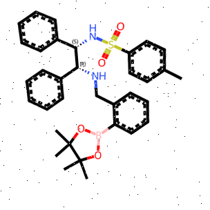 Cc1ccc(S(=O)(=O)N[C@@H](c2ccccc2)[C@H](NCc2ccccc2B2OC(C)(C)C(C)(C)O2)c2ccccc2)cc1